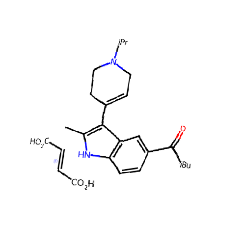 CCC(C)C(=O)c1ccc2[nH]c(C)c(C3=CCN(C(C)C)CC3)c2c1.O=C(O)/C=C/C(=O)O